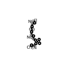 N#Cc1c(Cl)cccc1Oc1ccc(C2(c3ccc(Oc4cccc(Oc5ccc(S(=O)(=O)c6ccc(Oc7cccc(Cl)c7C#N)cc6)cc5)c4C#N)cc3)c3ccccc3-c3ccccc32)cc1